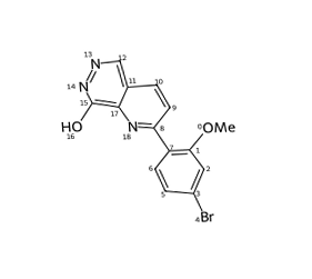 COc1cc(Br)ccc1-c1ccc2cnnc(O)c2n1